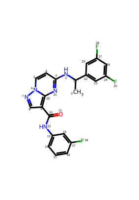 CC(Nc1ccn2ncc(C(=O)Nc3cccc(F)c3)c2n1)c1cc(F)cc(F)c1